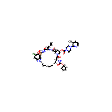 [C-]#[N+]c1cccnc1N1CCN(C(=O)O[C@@H]2C[C@H]3C(=O)N[C@@]4(C[C@H]4C=C)C(=O)NS(=O)(=O)c4cc(F)ccc4NCCCCCCC[C@H](NC(=O)OC4CCCC4)C(=O)N3C2)CC1